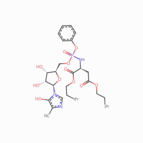 CC(C)CCOC(=O)C[C@H](NP(=O)(OC[C@H]1O[C@@H](n2cnc(C#N)c2O)[C@H](O)[C@@H]1O)Oc1ccccc1)C(=O)OCCC(C)C